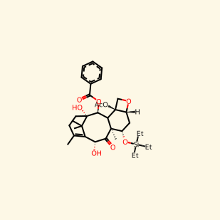 CC[Si](CC)(CC)O[C@H]1C[C@H]2OC[C@@]2(OC(C)=O)C2[C@H](OC(=O)c3ccccc3)[C@]3(O)CCC(C)=C([C@@H](O)C(=O)[C@@]21C)C3(C)C